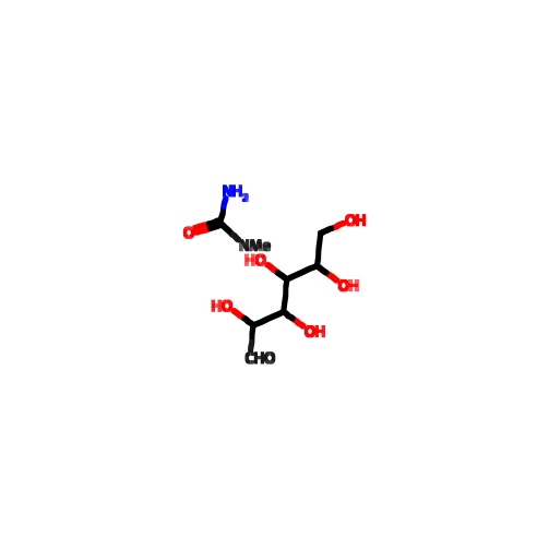 CNC(N)=O.O=CC(O)C(O)C(O)C(O)CO